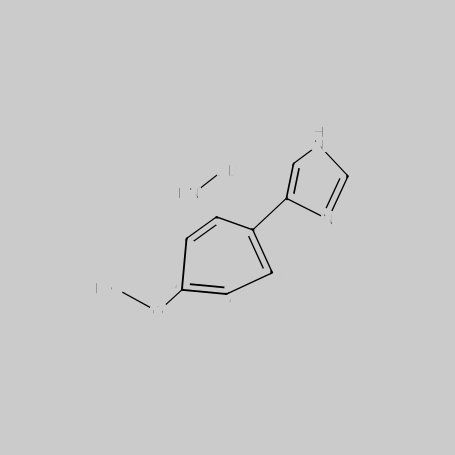 CCCCN.FC(F)(F)Oc1ccc(-c2c[nH]cn2)cc1